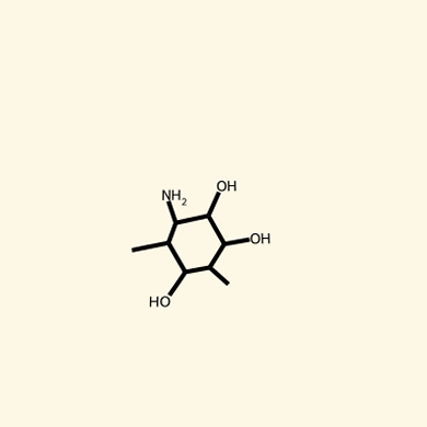 CC1C(N)C(O)C(O)C(C)C1O